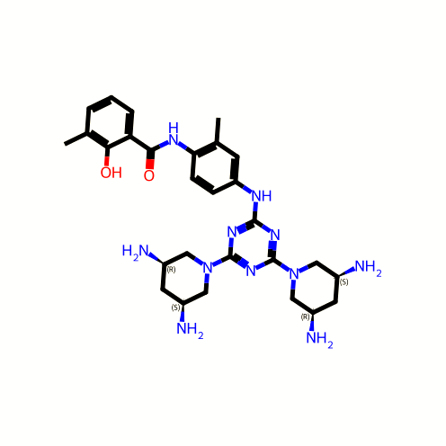 Cc1cc(Nc2nc(N3C[C@H](N)C[C@H](N)C3)nc(N3C[C@H](N)C[C@H](N)C3)n2)ccc1NC(=O)c1cccc(C)c1O